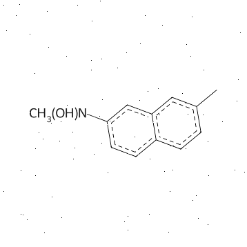 Cc1ccc2ccc(N(C)O)cc2c1